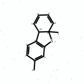 Cc1ccc2c(c1)SC1(C)C=CC=CC21